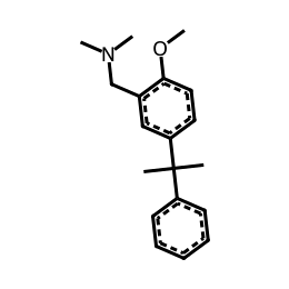 COc1ccc(C(C)(C)c2ccccc2)cc1CN(C)C